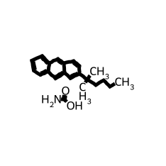 CCCCC(C)(C)c1ccc2cc3ccccc3cc2c1.NC(=O)O